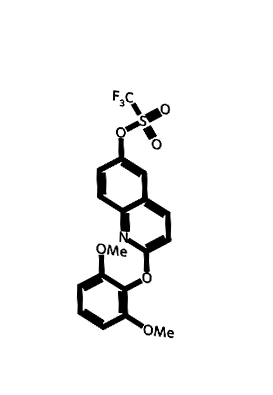 COc1cccc(OC)c1Oc1ccc2cc(OS(=O)(=O)C(F)(F)F)ccc2n1